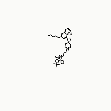 CCCCCc1cc(OC2CCN(CCCNC(=O)OC(C)(C)C)CC2)c2ncccc2c1